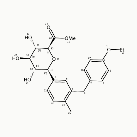 CCOc1ccc(Cc2cc([C@@H]3O[C@H](C(=O)OC)[C@@H](O)[C@H](O)[C@H]3O)ccc2C)cc1